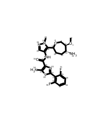 CO[C@@H]1COC(c2c(NC(=O)c3nc(-c4c(F)cccc4F)sc3N)cnn2C)CC[C@H]1N